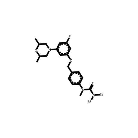 CCN(CC)C(=O)N(C)c1ccc(COc2cc(F)cc(N3CC(C)OC(C)C3)c2)cc1